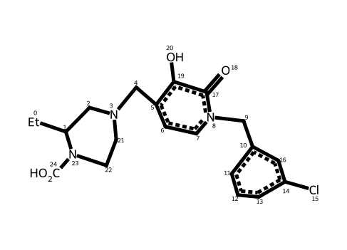 CCC1CN(Cc2ccn(Cc3cccc(Cl)c3)c(=O)c2O)CCN1C(=O)O